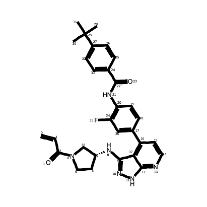 C=CC(=O)N1CC[C@@H](Nc2n[nH]c3nccc(-c4ccc(NC(=O)c5ccc(C(C)(C)C)cc5)c(F)c4)c23)C1